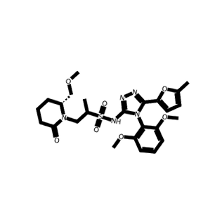 COC[C@H]1CCCC(=O)N1CC(C)S(=O)(=O)Nc1nnc(-c2ccc(C)o2)n1-c1c(OC)cccc1OC